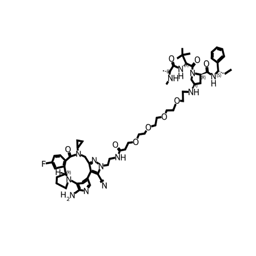 CC[C@H](NC(=O)[C@H]1C[C@@H](NCCOCCOCCOCCOCCC(=O)NCCn2nc3c(c2C#N)-c2cnc(N)c(c2)N2CCC[C@@H]2c2cc(F)ccc2C(=O)N(C2CC2)C3)CN1C(=O)[C@H](NC(=O)[C@@H](C)NC)C(C)(C)C)c1ccccc1